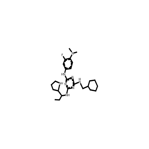 CCC(Nc1nc(NCC2CCCCC2)nc(Nc2ccc(N(C)C)c(F)c2)n1)C1CCCN1